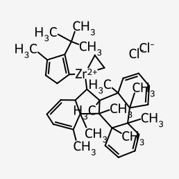 CC1=CC[C]([Zr+2]2([CH]3C4C=CC=C(C)C4(C)C4(C)C5(C)C=CC=CC5(C)C5(C)C=CC=CC5(C)C34C)[CH2][CH2]2)=C1C(C)(C)C.[Cl-].[Cl-]